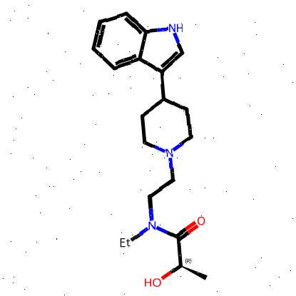 CCN(CCN1CCC(c2c[nH]c3ccccc23)CC1)C(=O)[C@@H](C)O